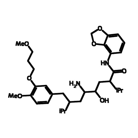 COCCCOc1cc(CC(CC(N)C(O)CC(C(=O)Nc2cccc3c2OCO3)C(C)C)C(C)C)ccc1OC